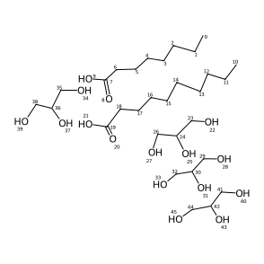 CCCCCCCC(=O)O.CCCCCCCCCC(=O)O.OCC(O)CO.OCC(O)CO.OCC(O)CO.OCC(O)CO